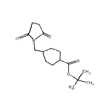 CC(C)(C)OC(=O)C1CCC(CN2C(=O)CCC2=O)CC1